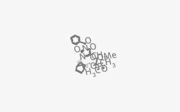 COC(=O)C(OC[C@@H]1C2C=CC(C2)[C@@H]1Cn1cc(C)c(=O)n(C(=O)c2ccccc2)c1=O)P(C)(C)=O